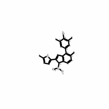 Cc1ccc(C2=Cc3c(ccc(C)c3-c3cc(C)c(Cl)c(C)c3)[CH]2[Zr]([Cl])[Cl])o1